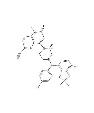 C[C@H]1CN(C(c2ccc(Cl)cc2)c2ccc(F)c3c2OC(C)(C)C3)CCN1c1cc(=O)n(C)c2ccc(C#N)nc12